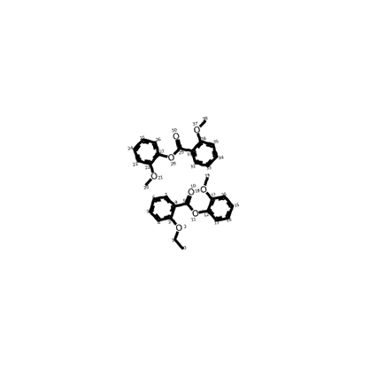 CCOc1ccccc1C(=O)Oc1ccccc1OC.COc1ccccc1OC(=O)c1ccccc1OC